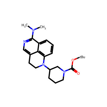 CN(C)c1ncc2c3c(cccc13)N(C1CCCN(C(=O)OC(C)(C)C)C1)CC2